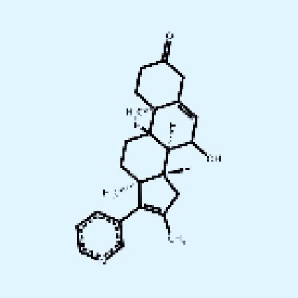 CC1=C(c2cccnc2)[C@@]2(C)CC[C@H]3[C@@H](C(O)C=C4CC(=O)CC[C@@]43C)[C@@H]2C1